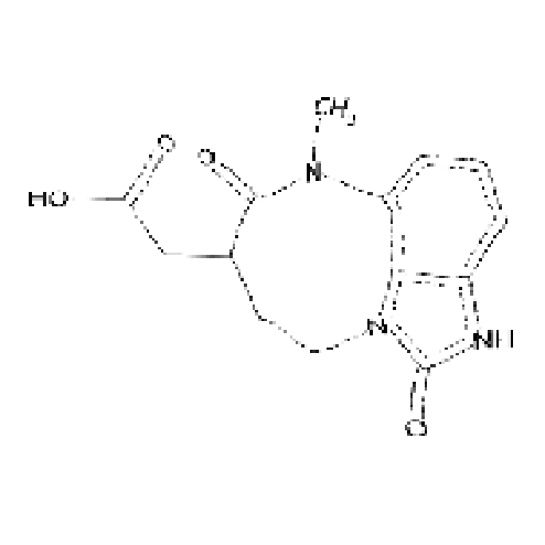 CN1C(=O)C(CC(=O)O)CCn2c(=O)[nH]c3cccc1c32